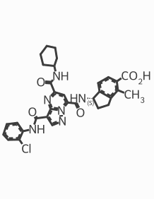 Cc1c(C(=O)O)ccc2c1CC[C@@H]2NC(=O)c1cc(C(=O)NC2CCCCC2)nc2c(C(=O)Nc3ccccc3Cl)cnn12